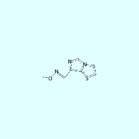 CO/N=C/c1ncn2ccsc12